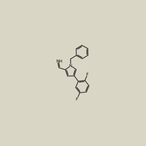 N=Cc1cc(-c2cc(F)ccc2F)cn1Cc1ccccc1